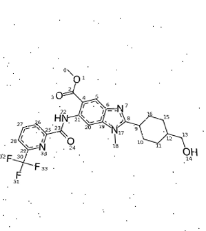 COC(=O)c1cc2nc(C3CCC(CO)CC3)n(C)c2cc1NC(=O)c1cccc(C(F)(F)F)n1